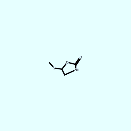 CSC1CNC(=O)O1